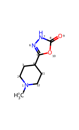 CN1CCC(c2n[nH]c(=O)o2)CC1